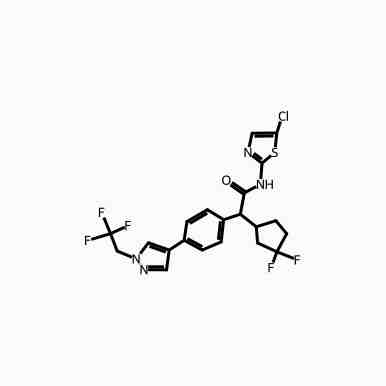 O=C(Nc1ncc(Cl)s1)C(c1ccc(-c2cnn(CC(F)(F)F)c2)cc1)C1CCC(F)(F)C1